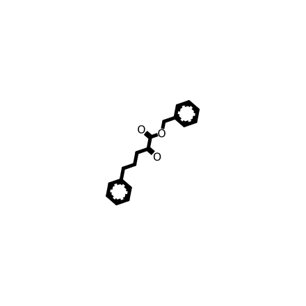 O=C(CCCc1ccccc1)C(=O)OCc1ccccc1